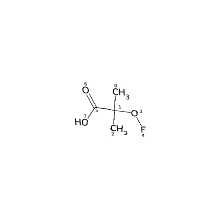 CC(C)(OF)C(=O)O